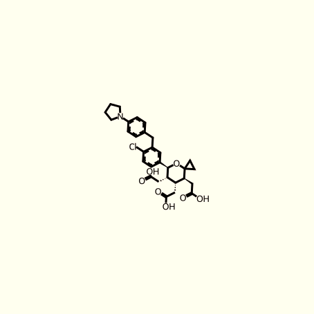 O=C(O)C[C@@H]1[C@H](CC(=O)O)[C@@H](c2ccc(Cl)c(Cc3ccc(N4CCCC4)cc3)c2)OC2(CC2)[C@H]1CC(=O)O